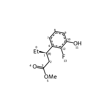 CC[C@H](CC(=O)OC)c1cccc(O)c1F